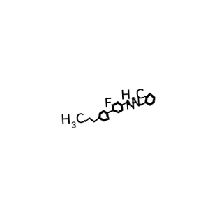 CCCCc1ccc(-c2ccc(C=NN=Cc3ccccc3C)cc2F)cc1